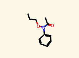 CCCON(C(C)=O)c1ccccc1